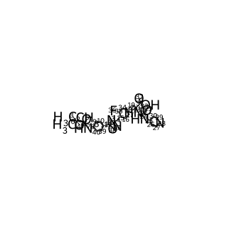 CC(C)(C)OC(=O)Nc1ccc(-c2nc(-c3ccc(CC(NC(=O)Nc4ccncc4)C(=O)O)cc3F)no2)cc1